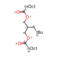 CCCCCCCCC(=O)OCC(COC(=O)CCCCCCCC)CC(C)(C)C